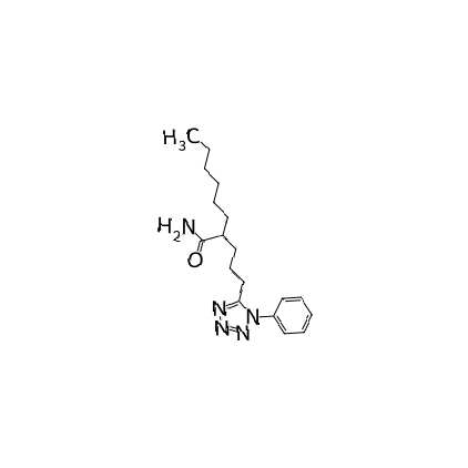 CCCCCCC(CCCc1nnnn1-c1ccccc1)C(N)=O